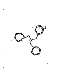 Cl.c1ccc(CN(Cc2ccccc2)Cc2ccccc2)cc1